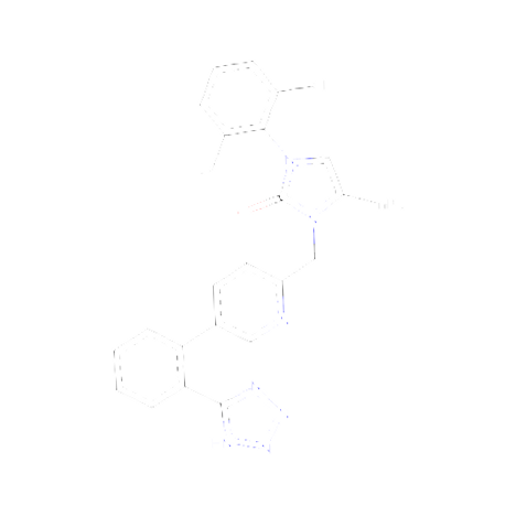 CCCCc1cn(-c2c(C)cccc2C(C)C)c(=O)n1Cc1ccc(-c2ccccc2-c2nnn[nH]2)cn1